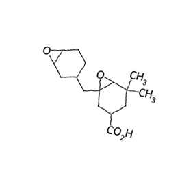 CC1(C)CC(C(=O)O)CC2(CC3CCC4OC4C3)OC12